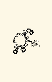 N=C(N)NCCCC1NC(=O)C(Cc2ccccc2)NC(=O)C(NC(=O)c2ccccc2)CCOCCCCOCCC(C(=O)Nc2cccc3ccccc23)NC1=O